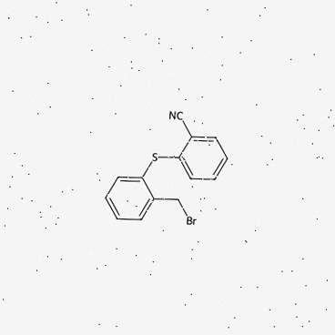 N#Cc1ccccc1Sc1ccccc1CBr